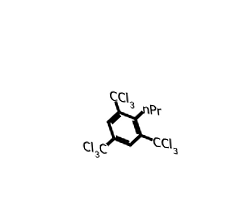 [CH2]CCc1c(C(Cl)(Cl)Cl)cc(C(Cl)(Cl)Cl)cc1C(Cl)(Cl)Cl